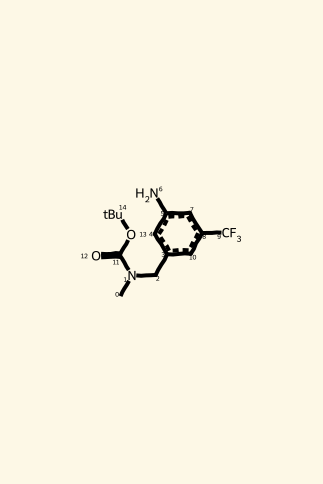 CN(Cc1cc(N)cc(C(F)(F)F)c1)C(=O)OC(C)(C)C